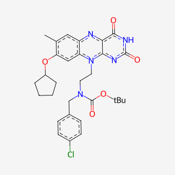 Cc1cc2nc3c(=O)[nH]c(=O)nc-3n(CCN(Cc3ccc(Cl)cc3)C(=O)OC(C)(C)C)c2cc1OC1CCCC1